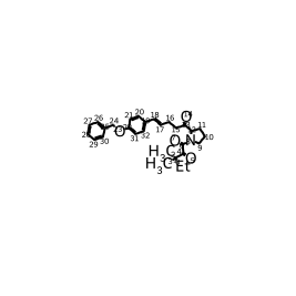 CCC(C)(C)C(=O)C(=O)N1CCCC1C(=O)CCC=Cc1ccc(OCc2ccccc2)cc1